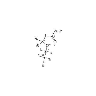 C=CC(=O)CC1(O[Si](C)(C)C(C)(C)C)CC1